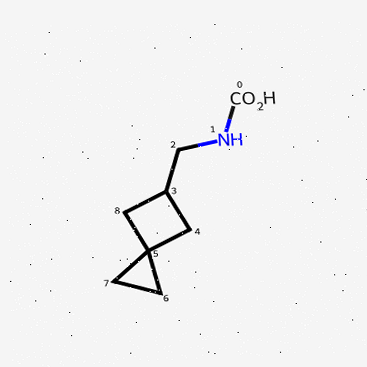 O=C(O)NCC1CC2(CC2)C1